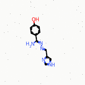 NC(=NN=Cc1c[nH]cn1)c1ccc(O)cc1